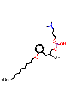 CCCCCCCCCCCCCCCCCCOc1ccccc1CC(COP(O)OCCCN(C)C)OC(C)=O